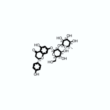 C[C@@H]1O[C@@H](O[C@H]2[C@@H](Oc3cc(O)c4c(c3)O[C@H](c3ccc(O)cc3)CC4=O)O[C@H](CO)[C@@H](O)[C@@H]2O)[C@H](O)[C@H](O)[C@H]1O